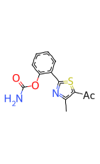 CC(=O)c1sc(-c2ccccc2OC(N)=O)nc1C